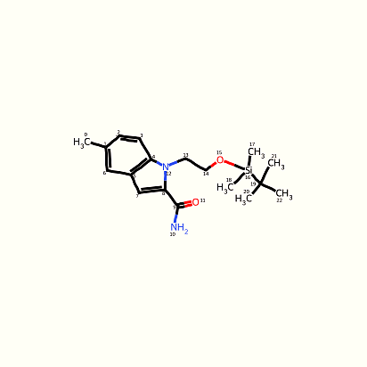 Cc1[c]cc2c(c1)cc(C(N)=O)n2CCO[Si](C)(C)C(C)(C)C